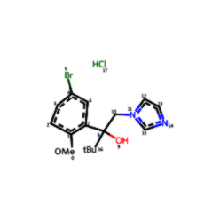 COc1ccc(Br)cc1C(O)(Cn1ccnc1)C(C)(C)C.Cl